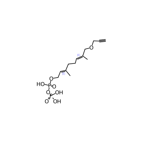 C#CCOC/C(C)=C/CC/C(C)=C/COP(=O)(O)OP(=O)(O)O